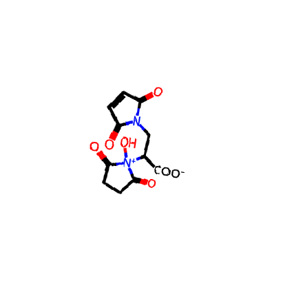 O=C([O-])C(CN1C(=O)C=CC1=O)[N+]1(O)C(=O)CCC1=O